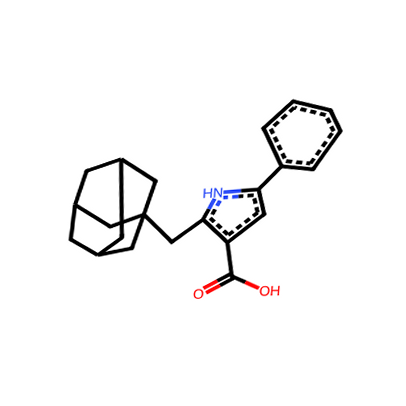 O=C(O)c1cc(-c2ccccc2)[nH]c1CC12CC3CC(CC(C3)C1)C2